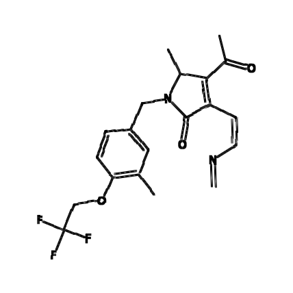 C=N/C=C\C1=C(C(C)=O)C(C)N(Cc2ccc(OCC(F)(F)F)c(C)c2)C1=O